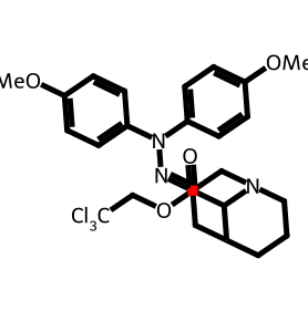 COc1ccc(N(N=C2CC3CCCN(C2)C3C(=O)OCC(Cl)(Cl)Cl)c2ccc(OC)cc2)cc1